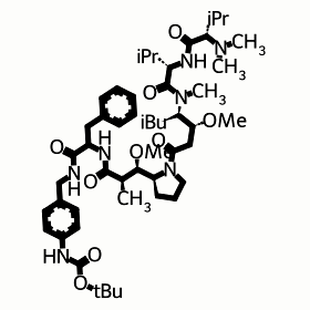 CC[C@H](C)[C@@H]([C@@H](CC(=O)N1CCC[C@H]1[C@H](OC)[C@@H](C)C(=O)NC(Cc1ccccc1)C(=O)NCc1ccc(NC(=O)OC(C)(C)C)cc1)OC)N(C)C(=O)[C@@H](NC(=O)[C@H](C(C)C)N(C)C)C(C)C